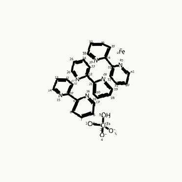 [Fe].[O-][Cl+3]([O-])([O-])O.c1ccc(-c2ccccn2)nc1.c1ccc(-c2ccccn2)nc1.c1ccc(-c2ccccn2)nc1